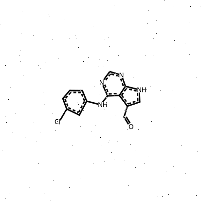 O=Cc1c[nH]c2ncnc(Nc3cccc(Cl)c3)c12